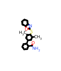 Cc1cc(-c2ccccc2C(N)=O)cc(C)c1Sc1nc2ccccc2o1